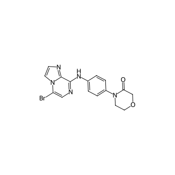 O=C1COCCN1c1ccc(Nc2ncc(Br)n3ccnc23)cc1